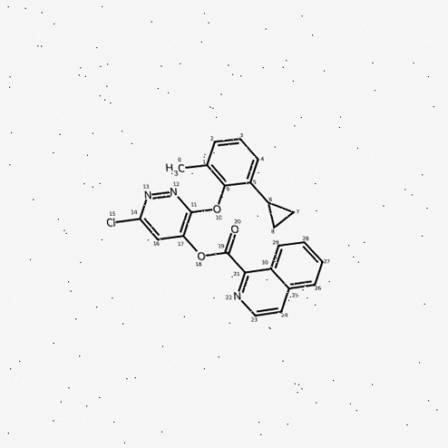 Cc1cccc(C2CC2)c1Oc1nnc(Cl)cc1OC(=O)c1nccc2ccccc12